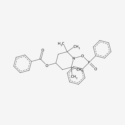 CC1(C)CC(OC(=O)c2ccccc2)CC(C)(C)N1OP(=O)(c1ccccc1)c1ccccc1